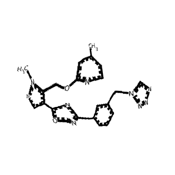 Cc1ccnc(OCc2c(-c3nc(-c4cccc(Cn5cnnn5)c4)no3)cnn2C)c1